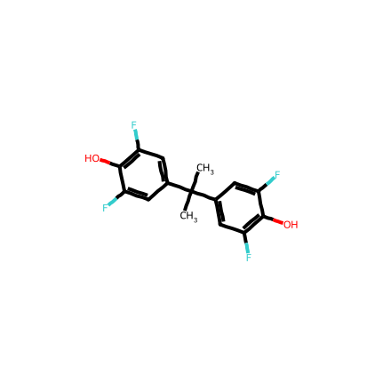 CC(C)(c1cc(F)c(O)c(F)c1)c1cc(F)c(O)c(F)c1